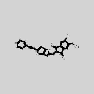 CCc1cc2c(cc1Cl)C(=O)/C(=C\c1cc3sc(C#Cc4ccccc4)cc3s1)C2=O